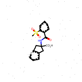 CS(=O)(=O)c1ccccc1C(=O)NC1(C(=O)O)Cc2ccccc2C1